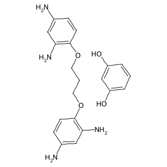 Nc1ccc(OCCCOc2ccc(N)cc2N)c(N)c1.Oc1cccc(O)c1